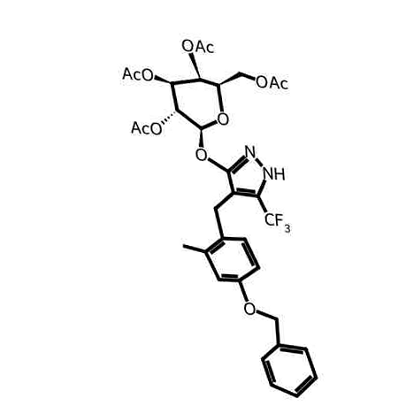 CC(=O)OC[C@H]1O[C@@H](Oc2n[nH]c(C(F)(F)F)c2Cc2ccc(OCc3ccccc3)cc2C)[C@H](OC(C)=O)[C@@H](OC(C)=O)[C@H]1OC(C)=O